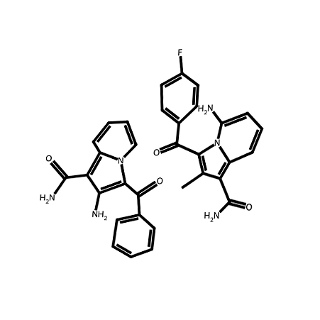 Cc1c(C(N)=O)c2cccc(N)n2c1C(=O)c1ccc(F)cc1.NC(=O)c1c(N)c(C(=O)c2ccccc2)n2ccccc12